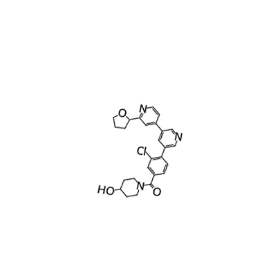 O=C(c1ccc(-c2cncc(-c3ccnc(C4CCCO4)c3)c2)c(Cl)c1)N1CCC(O)CC1